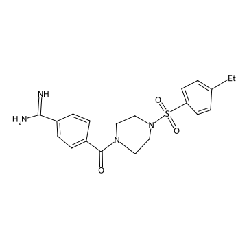 CCc1ccc(S(=O)(=O)N2CCN(C(=O)c3ccc(C(=N)N)cc3)CC2)cc1